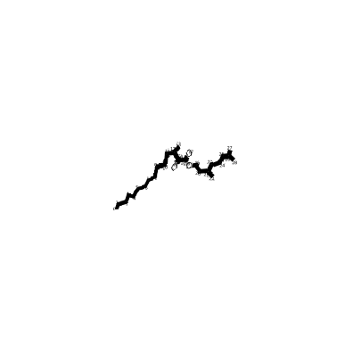 CCCCCCCCCCCCC(C)C(=O)C(=O)OCCC(C)CCC=C(C)C